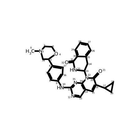 CN1CCOC(c2ccc(Nc3ncc4cc(C5CC5)c(=O)n(C5Cc6ccccc6C(=O)N5)c4n3)cc2)C1